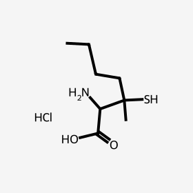 CCCCC(C)(S)C(N)C(=O)O.Cl